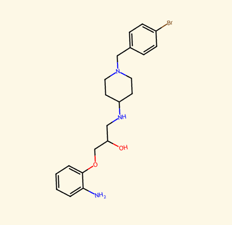 Nc1ccccc1OCC(O)CNC1CCN(Cc2ccc(Br)cc2)CC1